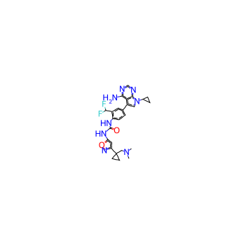 CN(C)CC1(c2cc(NC(=O)Nc3ccc(-c4cn(C5CC5)c5ncnc(N)c45)cc3C(F)F)on2)CC1